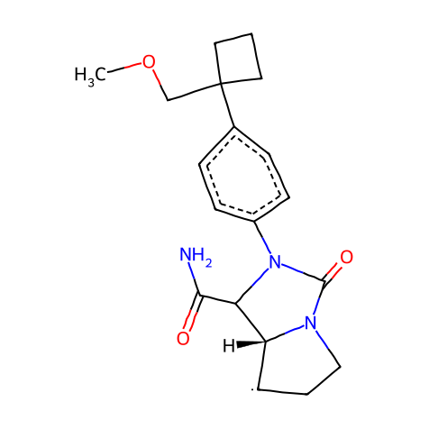 COCC1(c2ccc(N3C(=O)N4CC[CH][C@@H]4C3C(N)=O)cc2)CCC1